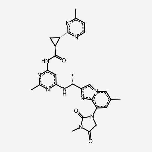 Cc1cc(N2CC(=O)N(C)C2=O)c2nc([C@@H](C)Nc3cc(NC(=O)[C@H]4C[C@@H]4c4nccc(C)n4)nc(C)n3)cn2c1